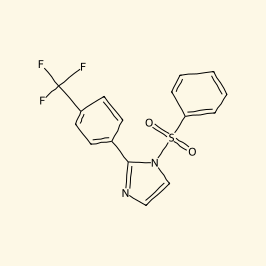 O=S(=O)(c1ccccc1)n1ccnc1-c1ccc(C(F)(F)F)cc1